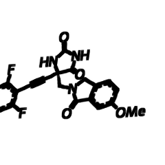 COc1ccc2c(c1)C(=O)N(C[C@@]1(C#Cc3c(F)cccc3F)NC(=O)NC1=O)C2